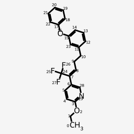 CCOc1ccc(C(=CCCc2cccc(Oc3ccccc3)c2)C(F)(F)F)cn1